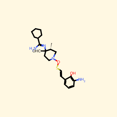 C[C@@H]1CN(OS/C=C/c2cccc(N)c2O)CCC1(C=O)/N=C(\N)C1CCCCC1